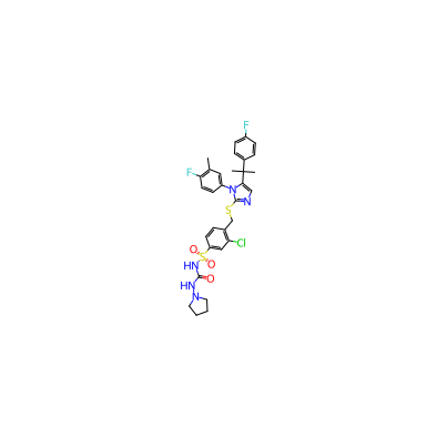 Cc1cc(-n2c(C(C)(C)c3ccc(F)cc3)cnc2SCc2ccc(S(=O)(=O)NC(=O)NN3CCCC3)cc2Cl)ccc1F